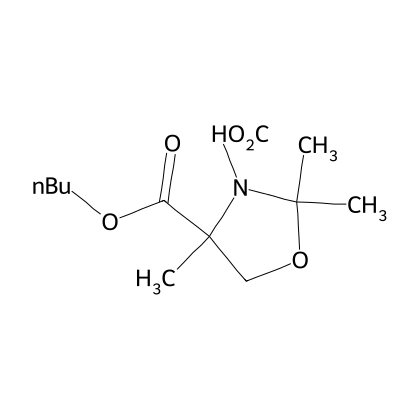 CCCCOC(=O)C1(C)COC(C)(C)N1C(=O)O